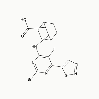 O=C(O)C1C2CCC(CC2)C1Nc1nc(Br)nc(-c2cnns2)c1F